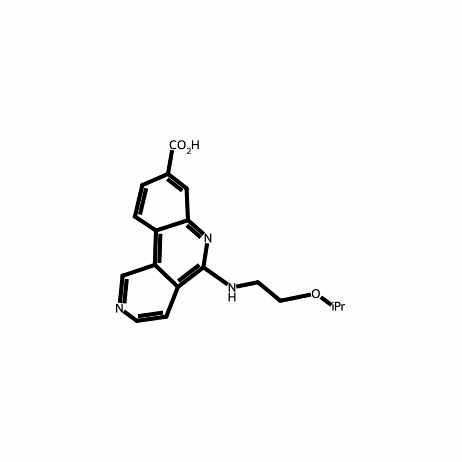 CC(C)OCCNc1nc2cc(C(=O)O)ccc2c2cnccc12